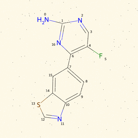 Nc1ncc(F)c(-c2ccc3ncsc3c2)n1